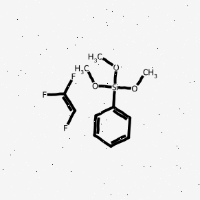 CO[Si](OC)(OC)c1ccccc1.FC=C(F)F